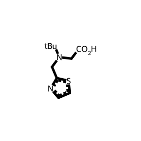 CC(C)(C)N(CC(=O)O)Cc1nccs1